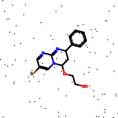 OCCOC1CC(c2ccccc2)N=C2N=CC(Br)=CN21